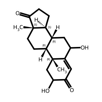 C[C@]12CC(O)C(=O)C=C1C(O)C[C@@H]1[C@H]2CC[C@]2(C)C(=O)CC[C@@H]12